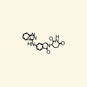 O=C1CCC(N2Cc3cc(Nc4nnc5ccccn45)ccc3C2=O)C(=O)N1